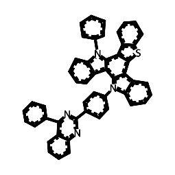 c1ccc(-c2nc(-c3ccc(-n4c5ccccc5c5c6sc7ccccc7c6c6c(c7ccccc7n6-c6ccccc6)c54)cc3)nc3ccccc23)cc1